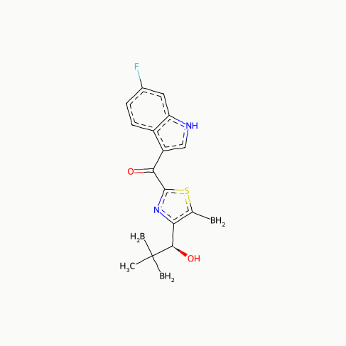 Bc1sc(C(=O)c2c[nH]c3cc(F)ccc23)nc1[C@@H](O)C(B)(B)C